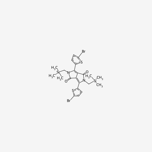 C[Si](C)(C)CN1C(=O)C2=C(c3ccc(Br)s3)N(C[Si](C)(C)C)C(=O)C2=C1c1ccc(Br)s1